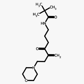 C=C(CCN1CCOCC1)C(=O)CCCNC(=O)C(C)(C)C